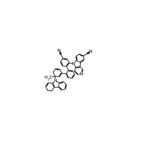 CC1(n2c3c(c4ccccc42)CCC=C3)C=C(c2ccccc2-c2ccc(C#N)cc2-n2c3ccncc3c3cc(C#N)ccc32)C=CC1